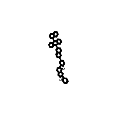 c1ccc2c(-c3c4ccccc4c(-c4ccc5cc(-c6ccc7sc8c9cc%10c(cc9ccc8c7c6)oc6ccccc6%10)ccc5c4)c4ccccc34)cccc2c1